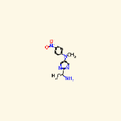 CC(N)c1ncc(N(C)c2ccc([N+](=O)[O-])cc2)cn1